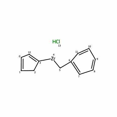 C1=CC[C]([Zr][CH2]c2ccccc2)=C1.Cl